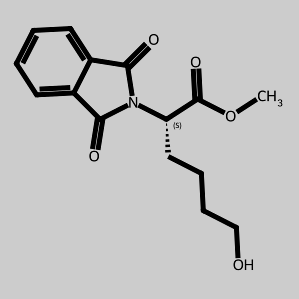 COC(=O)[C@H](CCCCO)N1C(=O)c2ccccc2C1=O